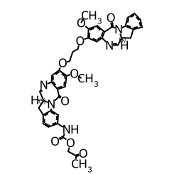 COc1cc2c(cc1OCCCOc1cc3c(cc1OC)C(=O)N1c4cc(NC(=O)OCC(C)=O)ccc4C[C@H]1C=N3)N=C[C@@H]1Cc3ccccc3N1C2=O